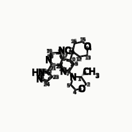 C[C@@H]1COCCN1c1cc(C2(C#N)CCOCC2)c2ccnc(-c3ccn[nH]3)c2n1